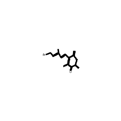 C=C1CC(C)C(=O)C(C)=C1/C=C/C(C)=C/CBr